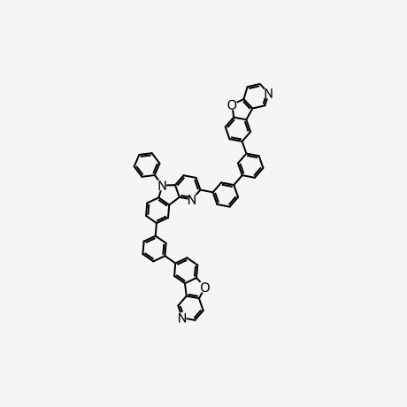 c1ccc(-n2c3ccc(-c4cccc(-c5ccc6oc7ccncc7c6c5)c4)cc3c3nc(-c4cccc(-c5cccc(-c6ccc7oc8ccncc8c7c6)c5)c4)ccc32)cc1